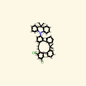 CC1(C)c2ccccc2-c2cc(N3c4ccccc4C(C)(C)c4ccccc43)ccc2CCc2c(Cl)cc(Cl)cc2-c2ccccc21